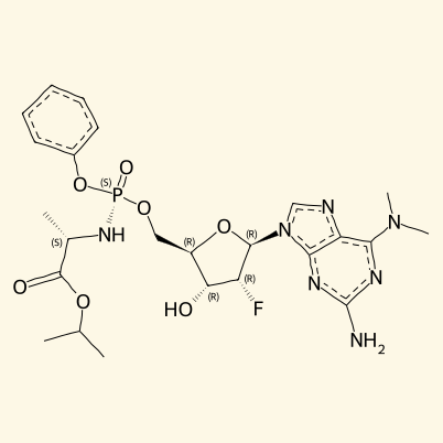 CC(C)OC(=O)[C@H](C)N[P@](=O)(OC[C@H]1O[C@@H](n2cnc3c(N(C)C)nc(N)nc32)[C@H](F)[C@@H]1O)Oc1ccccc1